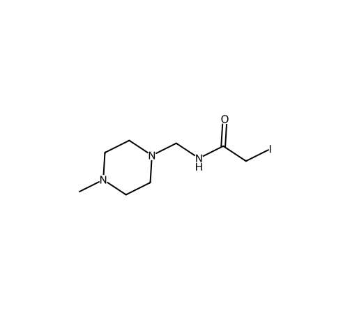 CN1CCN(CNC(=O)CI)CC1